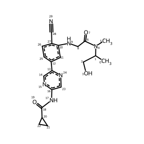 CC(CO)N(C)C(=O)CNc1cc(-c2cnc(NC(=O)C3CC3)cn2)ccc1C#N